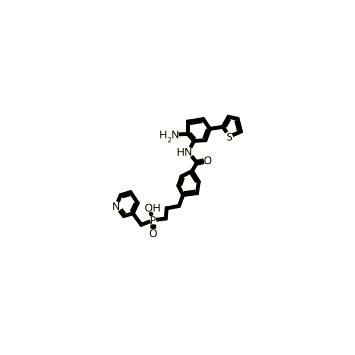 Nc1ccc(-c2cccs2)cc1NC(=O)c1ccc(CCCP(=O)(O)Cc2cccnc2)cc1